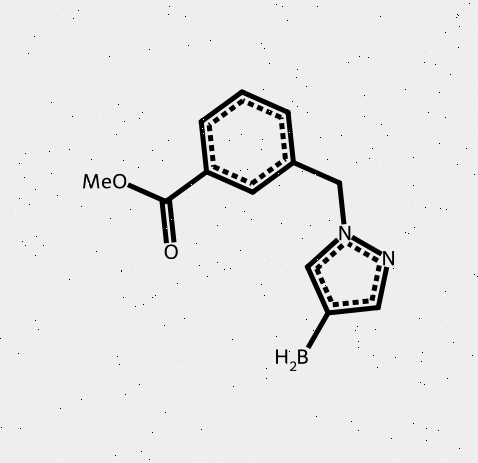 Bc1cnn(Cc2cccc(C(=O)OC)c2)c1